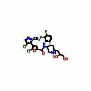 Cn1ncc(Cl)c1-c1cc(C(=O)N[C@@H]2CNC(CC(O)CO)C[C@H]2c2ccc(F)c(F)c2)oc1Cl